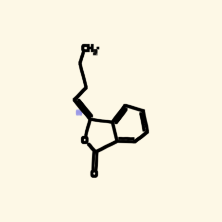 [CH2]CC/C=C1/OC(=O)c2ccccc21